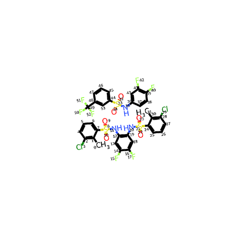 Cc1c(Cl)cccc1S(=O)(=O)Nc1cc(F)c(F)cc1NS(=O)(=O)c1cccc(Cl)c1C.O=S(=O)(Nc1ccc(F)c(F)c1)c1cccc(C(F)(F)F)c1